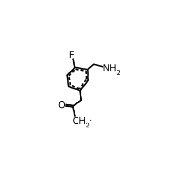 [CH2]C(=O)Cc1ccc(F)c(CN)c1